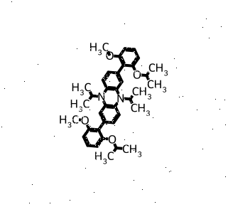 COc1cccc(OC(C)C)c1-c1ccc2c(c1)N(C(C)C)c1ccc(-c3c(OC)cccc3OC(C)C)cc1N2C(C)C